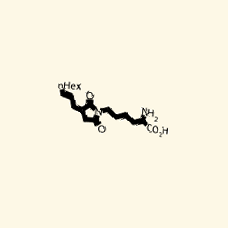 CCCCCC/C=C/CC1CC(=O)N(CCCCC(N)C(=O)O)C1=O